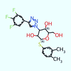 Cc1ccc(S[C@H]2OC(CO)[C@H](O)C(n3cc(-c4cc(F)c(F)c(F)c4)nn3)C2O)cc1C